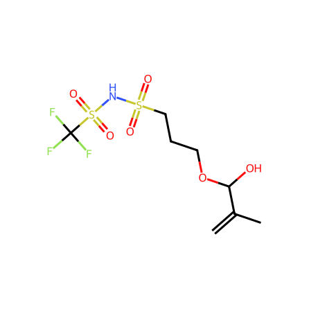 C=C(C)C(O)OCCCS(=O)(=O)NS(=O)(=O)C(F)(F)F